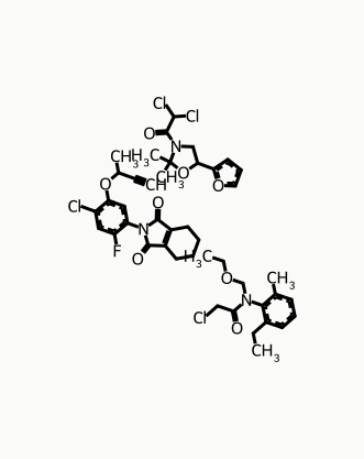 C#CC(C)Oc1cc(N2C(=O)C3=C(CCCC3)C2=O)c(F)cc1Cl.CC1(C)OC(c2ccco2)CN1C(=O)C(Cl)Cl.CCOCN(C(=O)CCl)c1c(C)cccc1CC